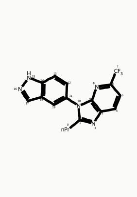 CCCc1nc2ccc(C(F)(F)F)nc2n1-c1ccc2[nH]ncc2c1